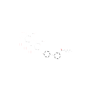 CNC(=O)c1cccc(-c2ccc(O[C@H]3O[C@H](CO)[C@@H](O)[C@H](C(O)[C@H]4O[C@H](CO)[C@@H](O)[C@@H](O)[C@H]4O)[C@@H]3O)cc2)c1